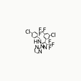 FC(F)(F)c1cc(Cl)cc(-c2c(C(F)(F)F)nn(-c3ncccn3)c2NCc2ccc(Cl)cc2)c1